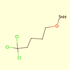 ClC(Cl)(Cl)CCCC[O][SnH]